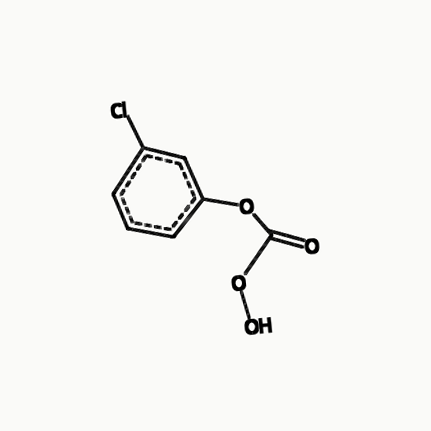 O=C(OO)Oc1cccc(Cl)c1